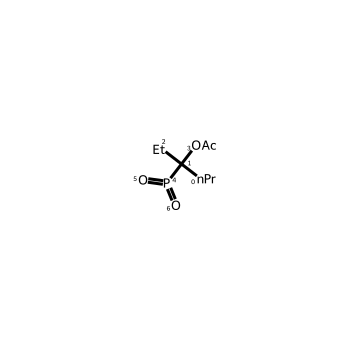 CCCC(CC)(OC(C)=O)P(=O)=O